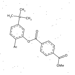 COC(=O)c1ccc(C(=O)Oc2cc([Si](C)(C)C)ccc2C(C)=O)cc1